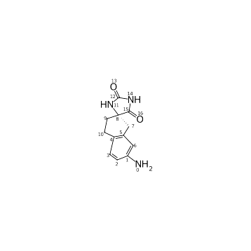 Nc1ccc2c(c1)C[C@]1(CC2)NC(=O)NC1=O